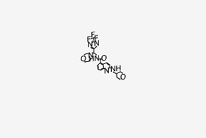 O=C(NCC(c1cnc(C(F)(F)F)nc1)N1CCCOCC1)c1cccc2nc(NCC3CCOCC3)ccc12